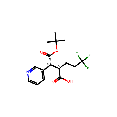 CC(C)(C)OC(=O)[C@@H](c1cccnc1)[C@@H](CCC(F)(F)F)C(=O)O